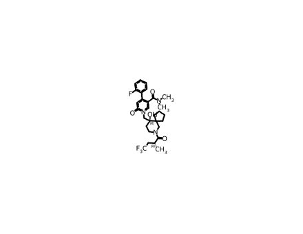 C[C@H](CC(F)(F)F)C(=O)N1CC[C@](O)(Cn2cc(C(=O)N(C)C)c(-c3ccccc3F)cc2=O)C2(CCCC2)C1